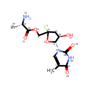 Cc1cn([C@@H]2O[C@](F)(COC(=O)[C@@H](N)C(C)C)C[C@H]2O)c(=O)[nH]c1=O